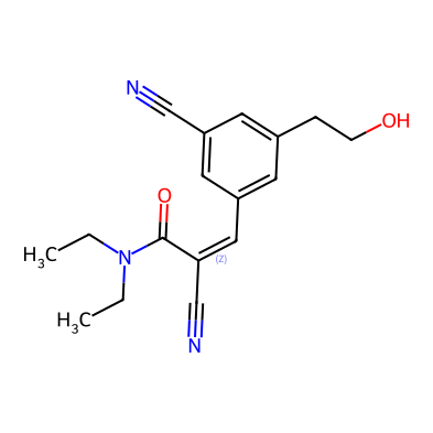 CCN(CC)C(=O)/C(C#N)=C\c1cc(C#N)cc(CCO)c1